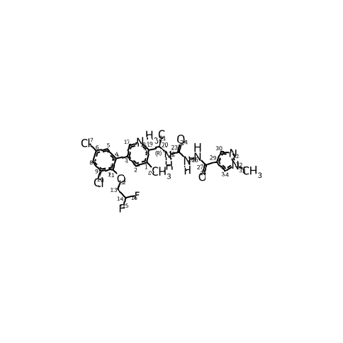 Cc1cc(-c2cc(Cl)cc(Cl)c2OCC(F)F)cnc1[C@@H](C)NC(=O)NNC(=O)c1cnn(C)c1